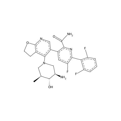 C[C@H]1CN(c2c(-c3cc(F)c(-c4c(F)cccc4F)nc3C(N)=O)cnc3c2CCO3)C[C@@H](N)[C@@H]1O